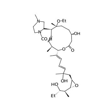 CCO[C@]1(C)CC[C@@H](O)CC(=O)O[C@H](/C(C)=C/C=C/C(C)(O)C[C@H]2O[C@@H]2[C@@H](C)[C@@H](O)CC)[C@@H](C)/C=C/[C@H]1C1CN(C)CCN1C(=O)O